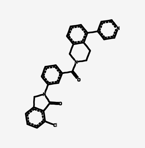 O=C(c1cccc(N2Cc3cccc(Cl)c3C2=O)c1)N1CCc2c(cccc2-c2ccncc2)C1